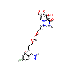 CNCc1ccc(F)cc1OCCCOCCOCCCN1CN(C)C(=O)c2c(O)c(=O)c(C=O)cn21